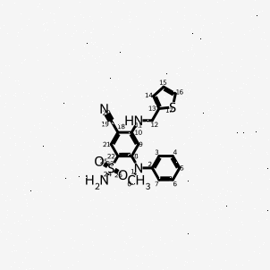 CN(c1ccccc1)c1cc(NCc2cccs2)c(C#N)cc1S(N)(=O)=O